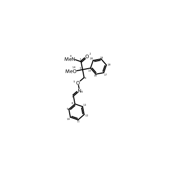 CNC(=O)C(CO/N=C/c1ccccc1)(OC)c1ccccc1